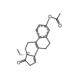 CC[C@]12CCC3=C(CCc4cc(OC(C)=O)ccc43)C1=CCC2=O